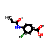 C=CC(=O)Nc1ccc(C(=O)O)cc1F